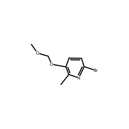 COCOc1ccc(Br)nc1C